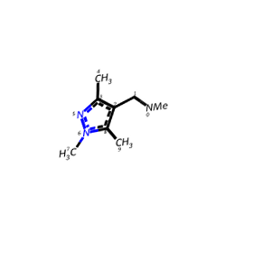 CNCc1c(C)nn(C)c1C